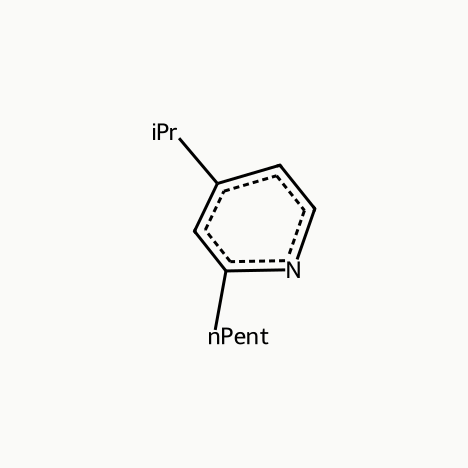 CCCCCc1cc(C(C)C)ccn1